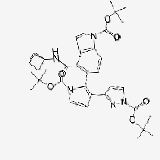 CC(C)(C)OC(=O)n1ccc(-c2ccn(C(=O)OC(C)(C)C)c2-c2ccc3c(ccn3C(=O)OC(C)(C)C)c2C(=O)NC23CC(C2)C3)n1